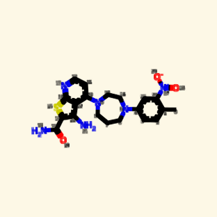 Cc1ccc(N2CCCN(c3ccnc4sc(C(N)=O)c(N)c34)CC2)cc1[N+](=O)[O-]